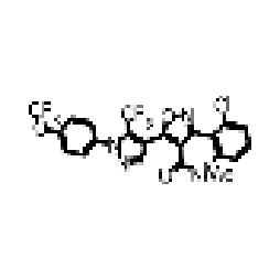 CNC(=O)c1c(-c2c(F)cccc2Cl)noc1-c1cnn(-c2ccc(OC(F)(F)F)cc2)c1C(F)(F)F